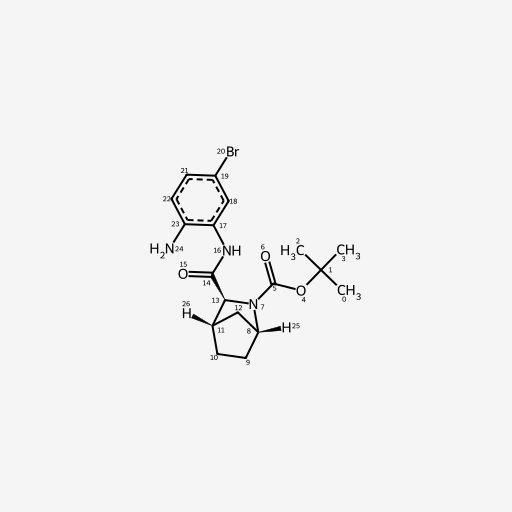 CC(C)(C)OC(=O)N1[C@@H]2CC[C@@H](C2)[C@H]1C(=O)Nc1cc(Br)ccc1N